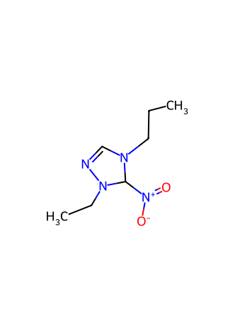 CCCN1C=NN(CC)C1[N+](=O)[O-]